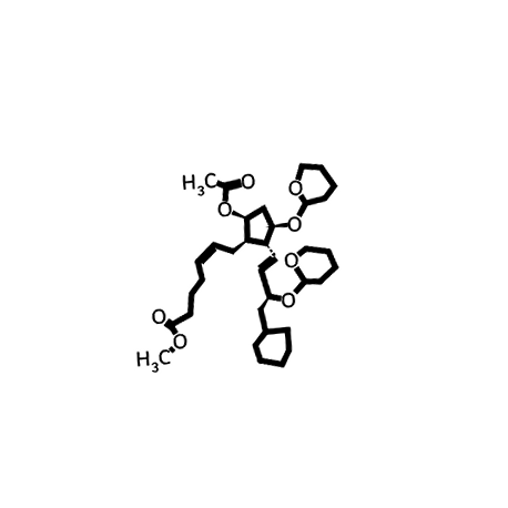 COC(=O)CCC/C=C\C[C@@H]1[C@@H](/C=C/[C@H](CC2CCCCC2)OC2CCCCO2)[C@H](OC2CCCCO2)C[C@@H]1OC(C)=O